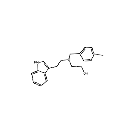 Cc1ccc(CN(CCO)CCc2c[nH]c3ccccc23)cc1